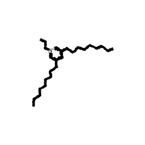 CCCCCCCCCc1cc(CCCCCCCCC)c[n+](CCC)c1